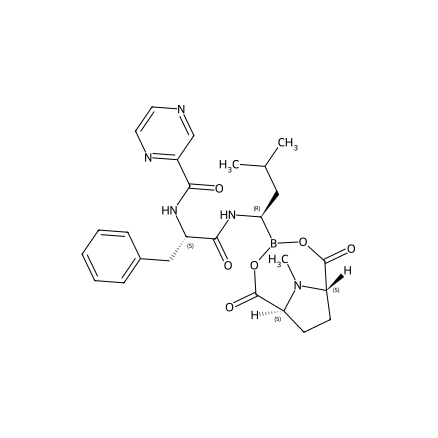 CC(C)C[C@H](NC(=O)[C@H](Cc1ccccc1)NC(=O)c1cnccn1)B1OC(=O)[C@@H]2CC[C@@H](C(=O)O1)N2C